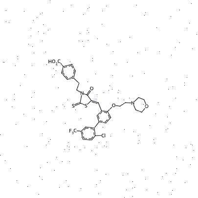 O=C(O)c1ccc(CCN2C(=O)/C(=C/c3cc(-c4cc(C(F)(F)F)ccc4Cl)ccc3OCCN3CCOCC3)SC2=S)cc1